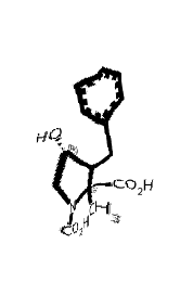 C[C@@]1(C(=O)O)C(Cc2ccccc2)[C@@H](O)CN1C(=O)O